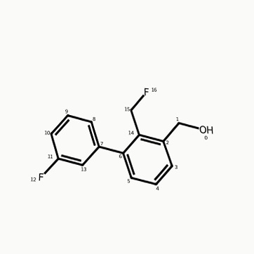 OCc1cccc(-c2cccc(F)c2)c1CF